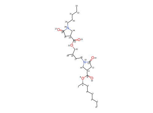 CCCCCCC(C)OC(=O)C1CC(=O)N(CCC(C)COC(=O)C2CC(=O)N(CCCCC)C2)C1